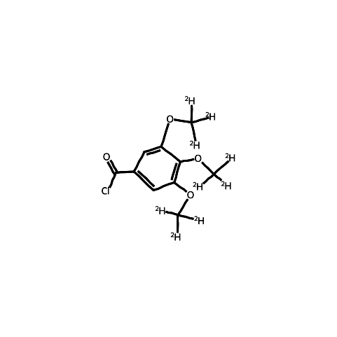 [2H]C([2H])([2H])Oc1cc(C(=O)Cl)cc(OC([2H])([2H])[2H])c1OC([2H])([2H])[2H]